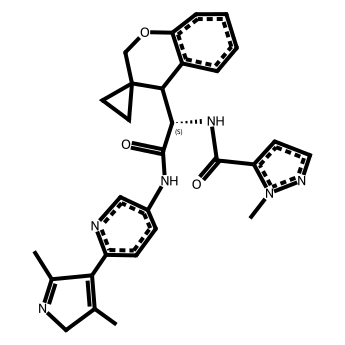 CC1=NCC(C)=C1c1ccc(NC(=O)[C@@H](NC(=O)c2ccnn2C)C2c3ccccc3OCC23CC3)cn1